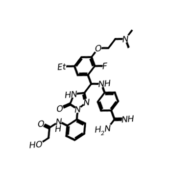 CCc1cc(OCCN(C)C)c(F)c(C(Nc2ccc(C(=N)N)cc2)c2nn(-c3ccccc3NC(=O)CO)c(=O)[nH]2)c1